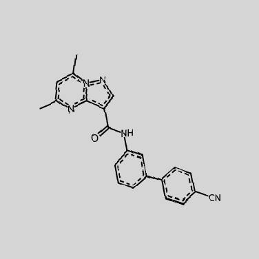 Cc1cc(C)n2ncc(C(=O)Nc3cccc(-c4ccc(C#N)cc4)c3)c2n1